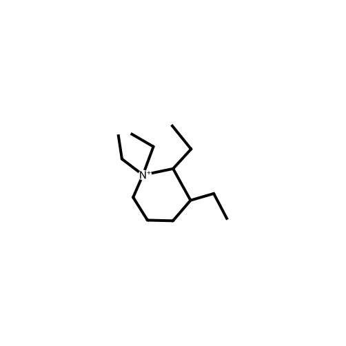 CCC1CCC[N+](CC)(CC)C1CC